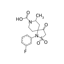 CC1CC2(CCN1C(=O)O)C(=O)CS(=O)(=O)N2c1cccc(F)c1